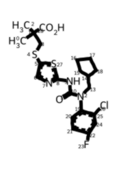 CC(C)(CSc1cnc(NC(=O)N(CC2CCCC2)c2ccc(F)cc2Cl)s1)C(=O)O